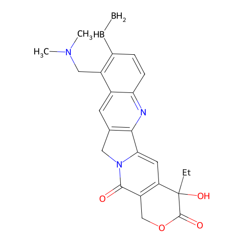 BBc1ccc2nc3c(cc2c1CN(C)C)Cn1c-3cc2c(c1=O)COC(=O)C2(O)CC